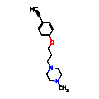 C#Cc1ccc(OCCCN2CCN(C)CC2)cc1